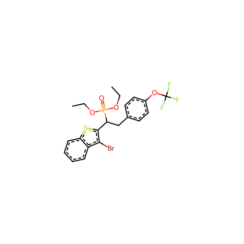 CCOP(=O)(OCC)C(Cc1ccc(OC(F)(F)F)cc1)c1sc2ccccc2c1Br